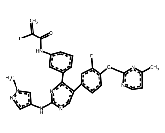 C=C(F)C(=O)Nc1cccc(-c2nc(Nc3cnn(C)c3)ncc2-c2ccc(Oc3nccc(C)n3)c(F)c2)c1